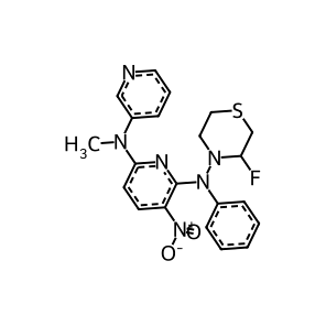 CN(c1cccnc1)c1ccc([N+](=O)[O-])c(N(c2ccccc2)N2CCSCC2F)n1